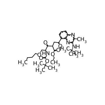 CCCCOCC(NC(=O)OC(C)(C)C)C(=O)C(CC(=O)c1cccc2nc(C)c(NC(C)(C)C)nc12)C(=O)OCC